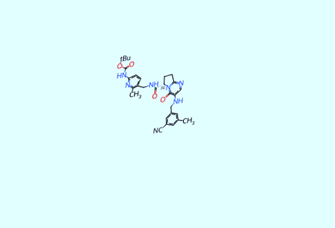 Cc1cc(C#N)cc(CNc2cnc3n(c2=O)[C@H](C(=O)NCc2ccc(NC(=O)OC(C)(C)C)nc2C)CC3)c1